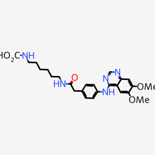 COc1cc2ncnc(Nc3ccc(CC(=O)NCCCCCCNC(=O)O)cc3)c2cc1OC